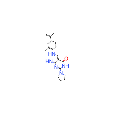 C=C(C)c1ccc(N/C=C2\C(=N)N=C(N3CCCC3)NC2=O)c(C)c1